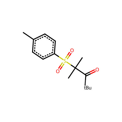 Cc1ccc(S(=O)(=O)C(C)(C)C(=O)C(C)(C)C)cc1